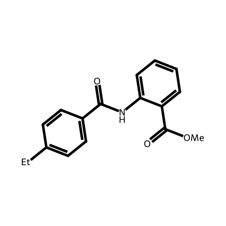 CCc1ccc(C(=O)Nc2ccccc2C(=O)OC)cc1